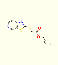 CCOC(=O)CSc1nc2ccncc2s1